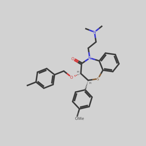 COc1ccc([C@H]2Sc3ccccc3N(CCN(C)C)C(=O)[C@H]2OCc2ccc(C)cc2)cc1